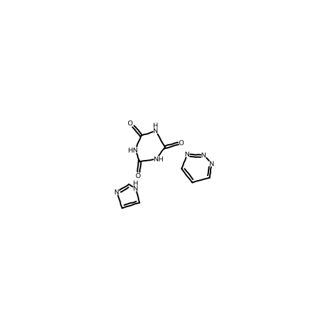 O=c1[nH]c(=O)[nH]c(=O)[nH]1.c1c[nH]cn1.c1cnnnc1